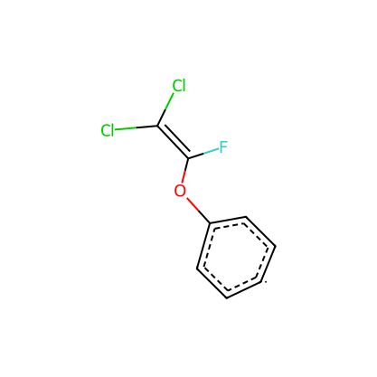 FC(Oc1cc[c]cc1)=C(Cl)Cl